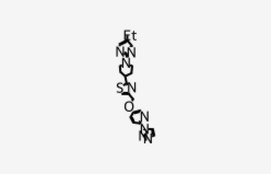 CCc1cnc(N2CCC(c3nc(COc4ccc(-n5ccnn5)nc4)cs3)CC2)nc1